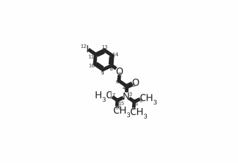 CC(C)N(C(=O)COc1ccc(I)cc1)C(C)C